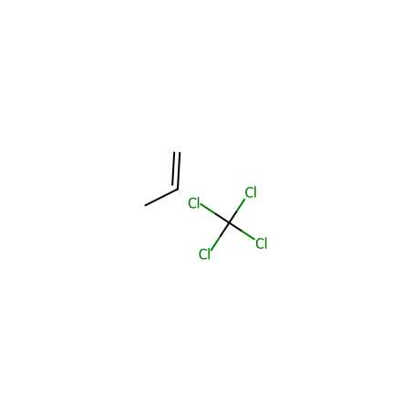 C=CC.ClC(Cl)(Cl)Cl